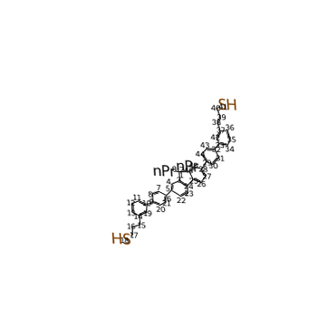 CCCC1(CCC)c2cc(-c3ccc(-c4cccc(CCCS)c4)cc3)ccc2-c2ccc(-c3ccc(-c4cccc(CCCS)c4)cc3)cc21